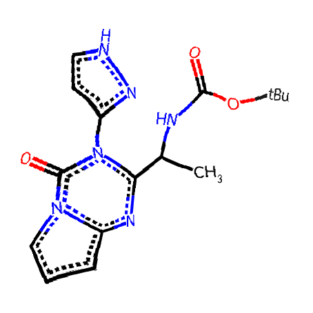 CC(NC(=O)OC(C)(C)C)c1nc2cccn2c(=O)n1-c1cc[nH]n1